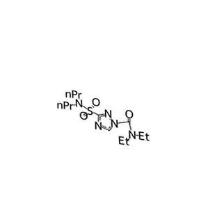 CCCN(CCC)S(=O)(=O)c1ncn(C(=O)N(CC)CC)n1